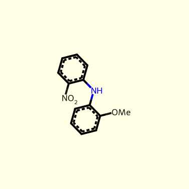 COc1ccccc1Nc1ccccc1[N+](=O)[O-]